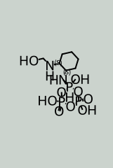 O=P1(O)OP(=O)(O)O[PH](O)(N[C@H]2CCCC[C@@H]2NCO)O1